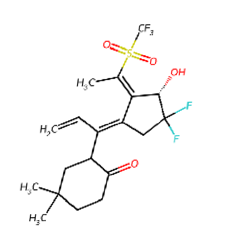 C=C/C(=C1/CC(F)(F)[C@@H](O)/C1=C(/C)S(=O)(=O)C(F)(F)F)C1CC(C)(C)CCC1=O